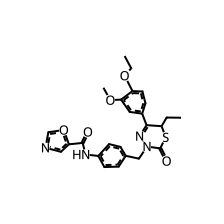 CCOc1ccc(C2=NN(Cc3ccc(NC(=O)c4cnco4)cc3)C(=O)SC2CC)cc1OC